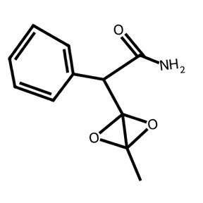 CC12OC1(C(C(N)=O)c1ccccc1)O2